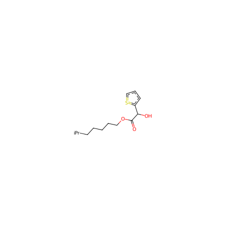 CC(C)CCCCCOC(=O)C(O)c1cccs1